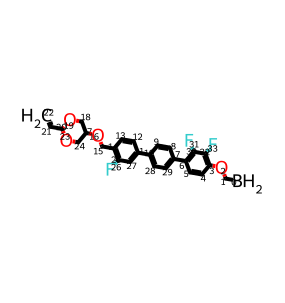 BCOc1ccc(-c2ccc(-c3ccc(COC4COC(C=C)OC4)c(F)c3)cc2)c(F)c1F